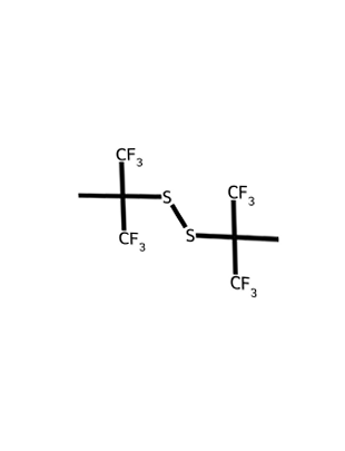 CC(SSC(C)(C(F)(F)F)C(F)(F)F)(C(F)(F)F)C(F)(F)F